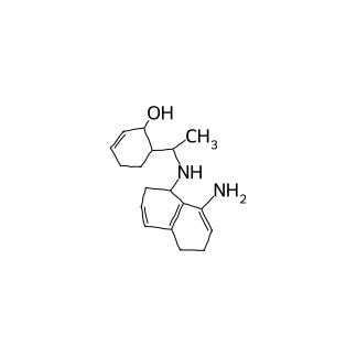 CC(NC1CC=CC2=C1C(N)=CCC2)C1CCC=CC1O